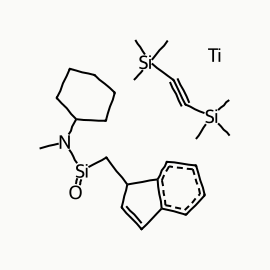 CN(C1CCCCC1)[Si](=O)CC1C=Cc2ccccc21.C[Si](C)(C)C#C[Si](C)(C)C.[Ti]